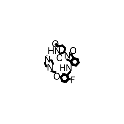 CN1CCN(CCOc2ccc(F)c(CNc3cccc4c3CN([C@H]3CCC(=O)NC3=O)C4=O)c2)CC1